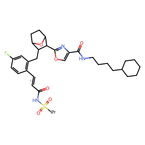 CC(C)S(=O)(=O)NC(=O)/C=C/c1ccc(F)cc1CC1C2CCC(O2)C1c1nc(C(=O)NCCCCC2CCCCC2)co1